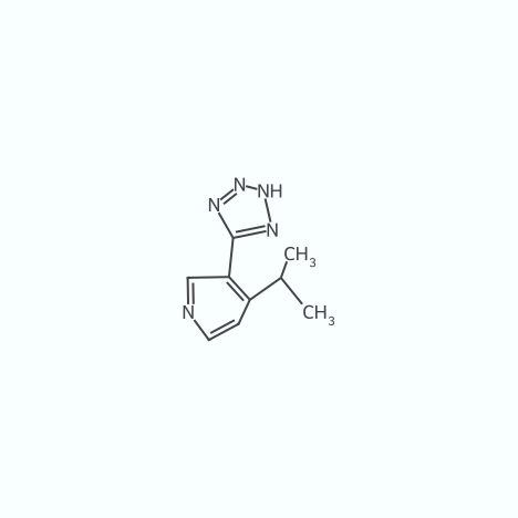 CC(C)c1ccncc1-c1nn[nH]n1